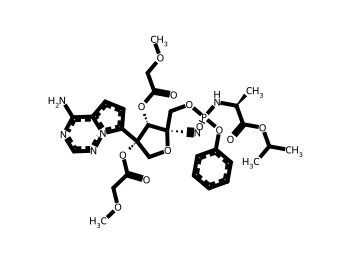 COCC(=O)O[C@@H]1[C@@](C#N)(COP(=O)(N[C@@H](C)C(=O)OC(C)C)Oc2ccccc2)OC[C@@]1(OC(=O)COC)c1ccc2c(N)ncnn12